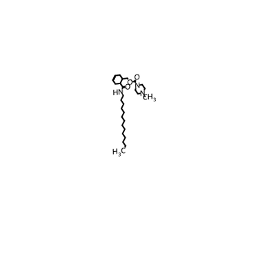 CCCCCCCCCCCCCCNC(=O)C1CC=CCC1COC(=O)N1CCN(C)CC1